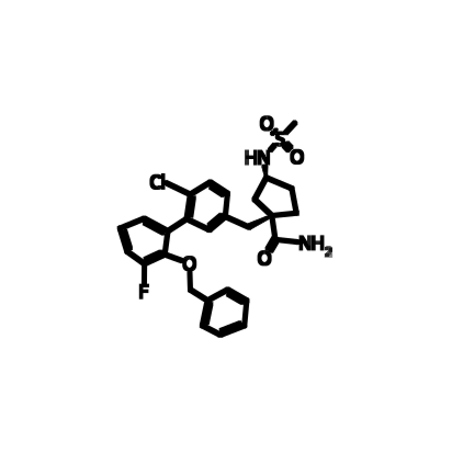 CS(=O)(=O)N[C@H]1CC[C@](Cc2ccc(Cl)c(-c3cccc(F)c3OCc3ccccc3)c2)(C(N)=O)C1